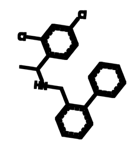 CC(NCc1ccccc1-c1ccccc1)c1ccc(Cl)cc1Cl